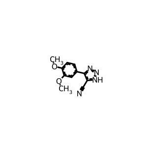 COc1ccc(-c2nn[nH]c2C#N)cc1OC